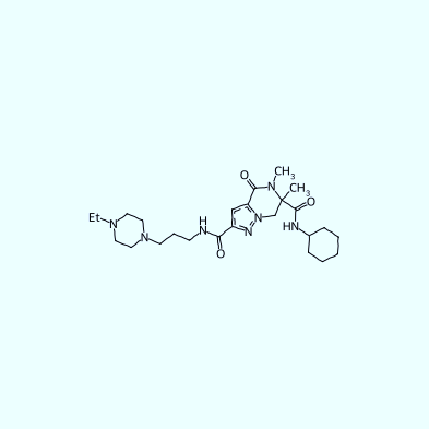 CCN1CCN(CCCNC(=O)c2cc3n(n2)CC(C)(C(=O)NC2CCCCC2)N(C)C3=O)CC1